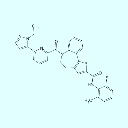 CCn1nccc1-c1cccc(C(=O)N2CCc3cc(C(=O)Nc4c(C)cccc4F)sc3-c3ccccc32)n1